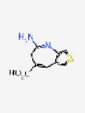 NC1=Nc2cscc2C=C(C(=O)O)C1